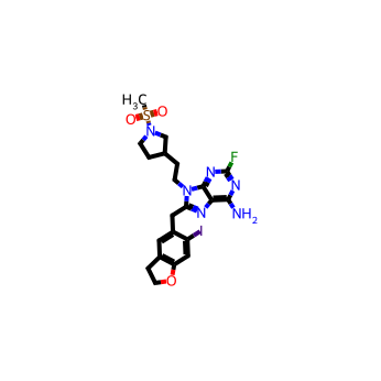 CS(=O)(=O)N1CCC(CCn2c(Cc3cc4c(cc3I)OCC4)nc3c(N)nc(F)nc32)C1